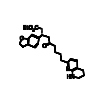 CCOC(=O)C[C@H](CC(=O)CCCCc1ccc2c(n1)NCCC2)c1ccc2c(c1)OCC2